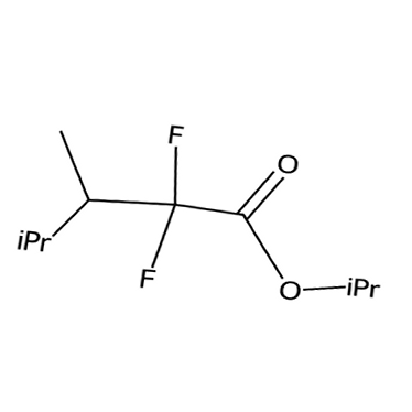 CC(C)OC(=O)C(F)(F)C(C)C(C)C